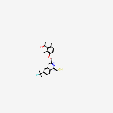 CC(=O)c1c(C)ccc(OC/C(C)=N/C(=C\S)c2ccc(C(C)(C)F)cc2)c1C